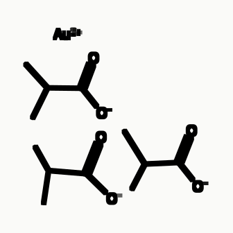 CC(C)C(=O)[O-].CC(C)C(=O)[O-].CC(C)C(=O)[O-].[Au+3]